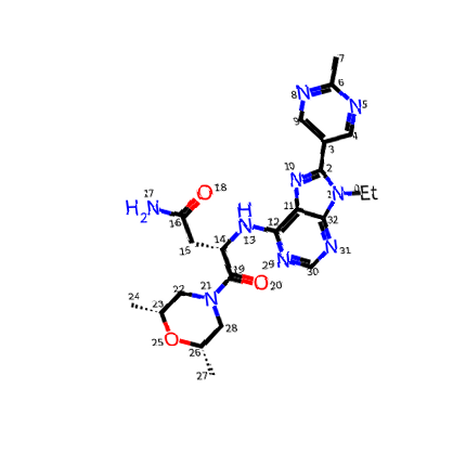 CCn1c(-c2cnc(C)nc2)nc2c(N[C@@H](CC(N)=O)C(=O)N3C[C@@H](C)O[C@@H](C)C3)ncnc21